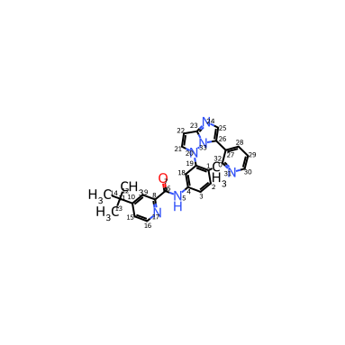 Cc1ccc(NC(=O)c2cc(C(C)(C)C)ccn2)cc1-n1ccc2ncc(-c3cccnc3)n21